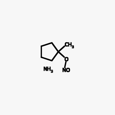 CC1(ON=O)CCCC1.N